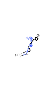 C[C@H]1CN(CC(=O)O)CCN1c1cccc(Cn2cc(-c3cc(-c4cccc(C#N)c4)nc(N)n3)nn2)n1